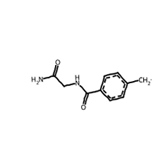 [CH2]c1ccc(C(=O)NCC(N)=O)cc1